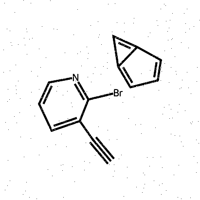 C#Cc1cccnc1Br.c1cc2cc-2c1